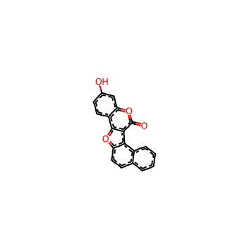 O=c1oc2cc(O)ccc2c2oc3ccc4ccccc4c3c12